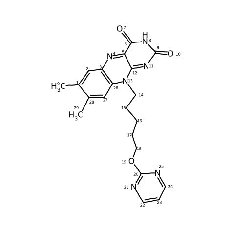 Cc1cc2nc3c(=O)[nH]c(=O)nc-3n(CCCCCOc3ncccn3)c2cc1C